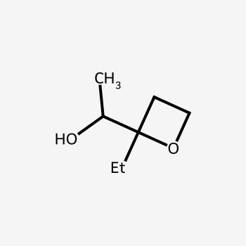 CCC1(C(C)O)CCO1